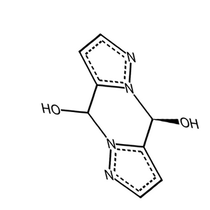 OC1c2ccnn2[C@@H](O)c2ccnn21